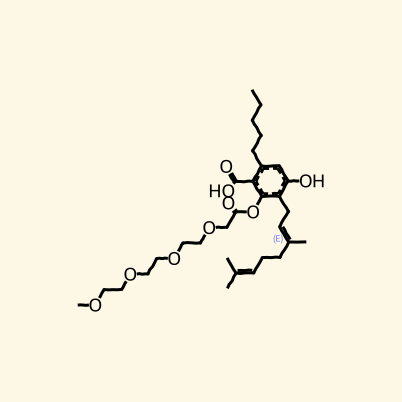 CCCCCc1cc(O)c(C/C=C(\C)CCC=C(C)C)c(OC(=O)COCCOCCOCCOC)c1C(=O)O